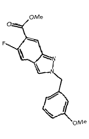 COC(=O)c1cc2nn(Cc3cccc(OC)c3)cc2cc1F